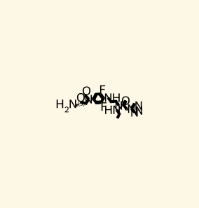 CCNN(CCNc1c(F)cc(N2C[C@H](CN)OC2=O)cc1F)C(=O)Cn1cnnn1